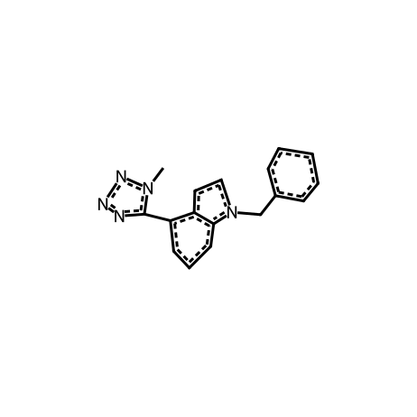 Cn1nnnc1-c1cccc2c1ccn2Cc1ccccc1